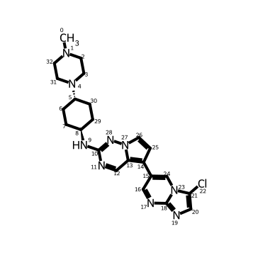 CN1CCN([C@H]2CC[C@H](Nc3ncc4c(-c5cnc6ncc(Cl)n6c5)ccn4n3)CC2)CC1